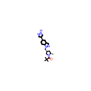 C[C@@H]1C[C@H](Cn2ncc3cc(-c4cn[nH]c4)ccc32)CN1C(=O)C(C)(C)C